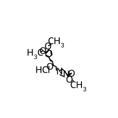 CCOC(=O)N1CCN(CCC(=O)C=Cc2ccc(OCC)c(OC)c2)CC1.Cl